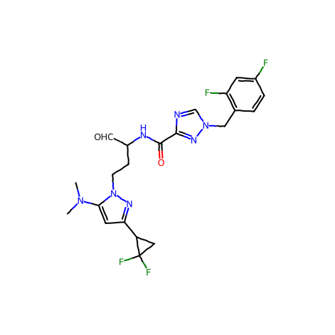 CN(C)c1cc(C2CC2(F)F)nn1CCC(C=O)NC(=O)c1ncn(Cc2ccc(F)cc2F)n1